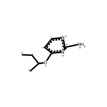 CCC(C)Oc1ccnc(N)n1